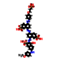 COc1ccc(Nc2ccc3c(O)c(N=Nc4ccc(N=Nc5ccc(N=Nc6ccc(OCCCS(=O)(=O)O)cc6)c6ccc(S(=O)(=O)O)cc56)c5ccc(S(=O)(=O)O)cc45)c(S(=O)(=O)O)cc3c2)cc1